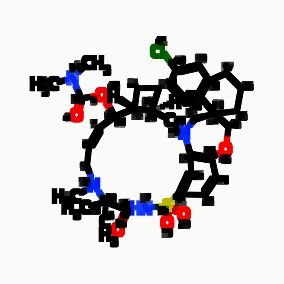 CN(C)C(=O)O[C@@H]1C=CCN(C)C(C)(C)C(=O)NS(=O)(=O)c2ccc3c(c2)N(C[C@@H]2CC[C@H]21)C[C@@]1(CCCc2cc(Cl)ccc21)CO3